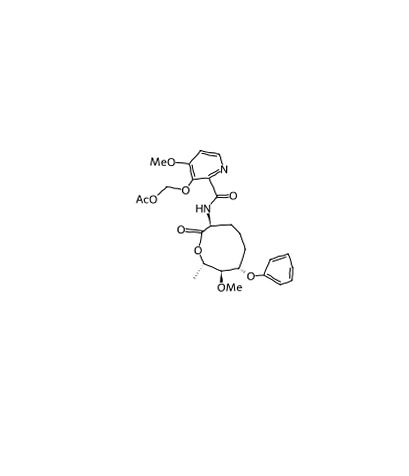 COc1ccnc(C(=O)N[C@H]2CCC[C@H](Oc3ccccc3)[C@@H](OC)[C@H](C)OC2=O)c1OCOC(C)=O